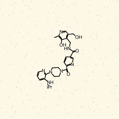 Cc1ncc(CO)c(CNC(=O)c2ccc(C(=O)N3CCN(c4ncccc4NC(C)C)CC3)nc2)c1O